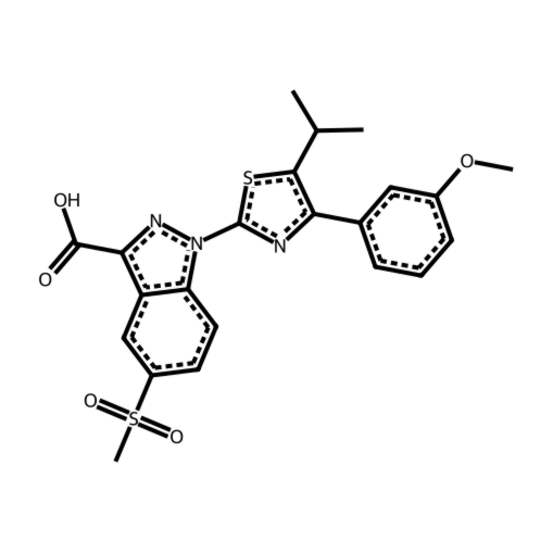 COc1cccc(-c2nc(-n3nc(C(=O)O)c4cc(S(C)(=O)=O)ccc43)sc2C(C)C)c1